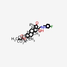 CC(C)C1=C2[C@H]3CC[C@@H]4[C@@]5(C)CC[C@H](OC(=O)CC(C)(C)C(=O)O)C(C)(C)[C@@H]5CC[C@@]4(C)[C@]3(C)CC[C@@]2([C@H](O)CNCc2ccc(F)cc2)CC1=O